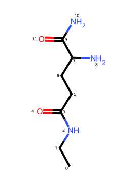 CCNC(=O)CCC(N)C(N)=O